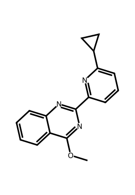 COc1nc(-c2cccc(C3CC3)n2)nc2ccccc12